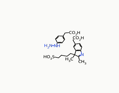 CC1=Nc2ccc(CC(=O)O)cc2C1(C)CCCCS(=O)(=O)O.NNc1ccc(CC(=O)O)cc1